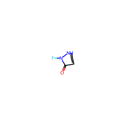 O=c1cc[nH]n1F